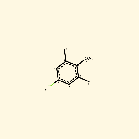 CC(=O)Oc1c(C)cc(F)cc1C